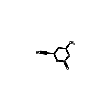 C#CC1CC(C)OS(=O)O1